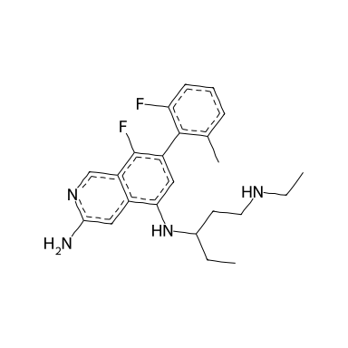 CCNCCC(CC)Nc1cc(-c2c(C)cccc2F)c(F)c2cnc(N)cc12